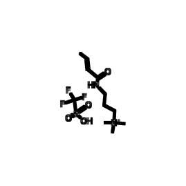 CC=CC(=O)NCCC[N+](C)(C)C.O=S(=O)(O)C(F)(F)F